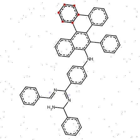 NC(/N=C(\N=C\c1ccccc1)c1ccc(Nc2c(-c3ccccc3)c(-c3ccccc3-c3ccccc3)c(-c3ccccc3)c3ccccc23)cc1)c1ccccc1